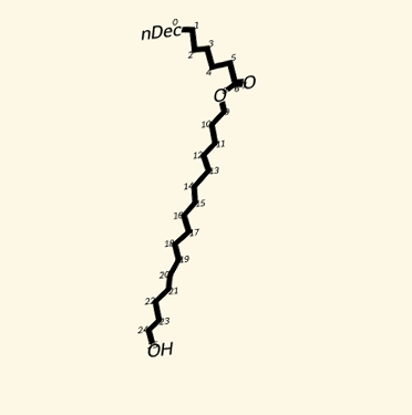 CCCCCCCCCCCCCCCC(=O)OCCCCCCCCCCCCCCCCO